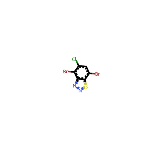 Clc1cc(Br)c2snnc2c1Br